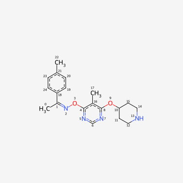 CC(=NOc1ncnc(OC2CCNCC2)c1C)c1ccc(C)cc1